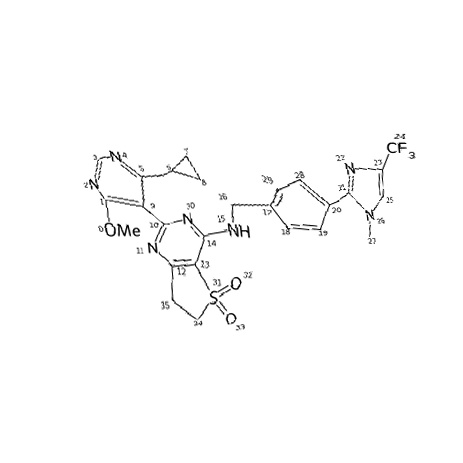 COc1ncnc(C2CC2)c1-c1nc2c(c(NCc3ccc(-c4nc(C(F)(F)F)cn4C)cc3)n1)S(=O)(=O)CC2